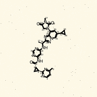 Cc1ccnc([C@H]2C[C@@H]2C(=O)Nc2cc(N[C@@H](C)c3nc4c(N5CC(=O)N(C)C5=O)cc(C5CC5)cn4n3)ncn2)n1